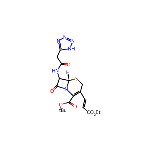 CCOC(=O)C=CC1=C(C(=O)OC(C)(C)C)N2C(=O)C(NC(=O)Cc3nnn[nH]3)[C@@H]2SC1